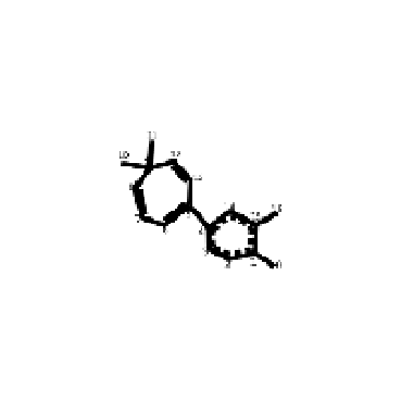 Cc1ccc(C2=CC=CC(C)(C)C=C2)cc1C